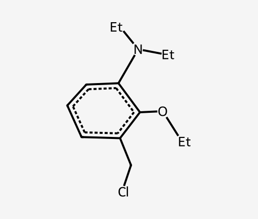 CCOc1c(CCl)cccc1N(CC)CC